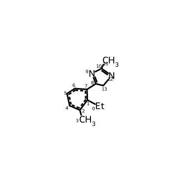 CCc1c(C)cccc1C1=NC(C)=NC1